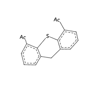 CC(=O)c1cccc2c1Sc1c(cccc1C(C)=O)C2